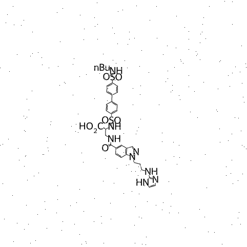 CCCCNS(=O)(=O)c1ccc(-c2ccc(S(=O)(=O)N[C@@H](CNC(=O)c3ccc4c(cnn4CCCNc4ncc[nH]4)c3)C(=O)O)cc2)cc1